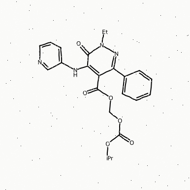 CCn1nc(-c2ccccc2)c(C(=O)OCOC(=O)OC(C)C)c(Nc2cccnc2)c1=O